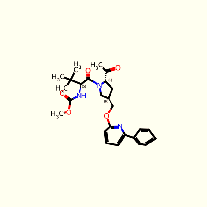 COC(=O)N[C@H](C(=O)N1C[C@H](COc2cccc(-c3ccccc3)n2)C[C@H]1C(C)=O)C(C)(C)C